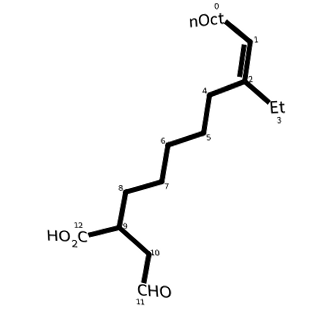 CCCCCCCCC=C(CC)CCCCCC(CC=O)C(=O)O